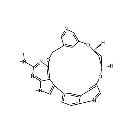 CNc1nc2c3c(c[nH]c3n1)-c1ccc3ncc(cc3c1)O[C@H]1C[C@@H](C1)Oc1cncc(c1)CO2